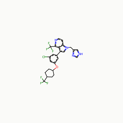 FC(F)(F)c1nccc2c1c(-c1cc(Cl)cc(OC3CCC(C(F)(F)F)CC3)c1)cn2Cc1c[nH]cn1